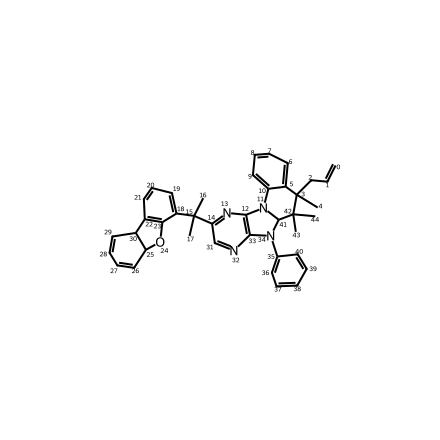 C=CCC1(C)c2ccccc2N2c3nc(C(C)(C)c4cccc5c4OC4C=CC=CC54)cnc3N(c3ccccc3)C2C1(C)C